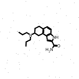 CCCN(CCC)C1CCc2ccc3[nH]c(C(N)=O)cc3c2C1